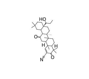 CCC(O)[C@]12CCC(C)(C)CC1C1C(=O)C[C@@H]3C4(C)C=C(C#N)C(=O)C(C)(C)[C@@H]4CCC3(C)[C@]1(C)CC2